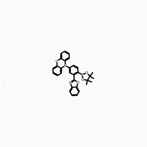 CC1(C)OB(c2ccc(N3c4ccccc4Oc4ccccc43)cc2-c2nc3ccccc3o2)OC1(C)C